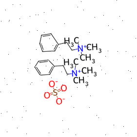 C[N+](C)(C)CCc1ccccc1.C[N+](C)(C)CCc1ccccc1.O=S(=O)([O-])[O-]